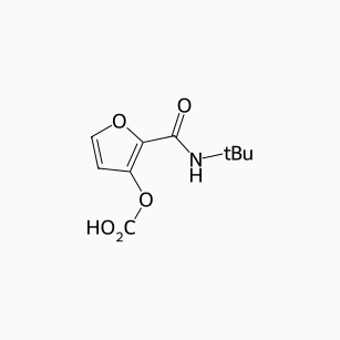 CC(C)(C)NC(=O)c1occc1OC(=O)O